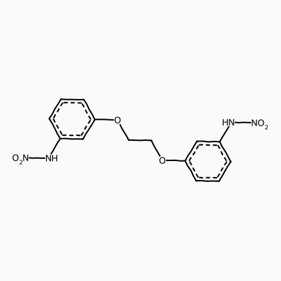 O=[N+]([O-])Nc1cccc(OCCOc2cccc(N[N+](=O)[O-])c2)c1